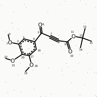 COc1cc(C(=O)C#CC(=O)OC(C)(C)C)cc(OC)c1OC